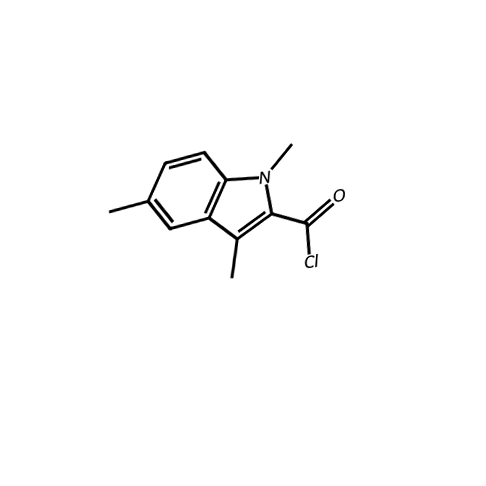 Cc1ccc2c(c1)c(C)c(C(=O)Cl)n2C